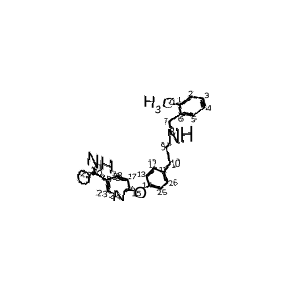 Cc1ccccc1CNCCc1ccc(Oc2ccc(C(N)=O)cn2)cc1